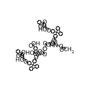 C=CC(=O)OCCNC(=O)OC(COC(=O)C1CCC(C(=O)OCC(COc2ccc(C3(c4ccc(OCC(O)COC(=O)c5ccccc5O)cc4)c4ccccc4-c4ccccc43)cc2)OC(=O)c2ccc(C(=O)O)cc2C(=O)O)CC1)COc1ccc(C2(c3ccc(OCC(O)COC(=O)c4ccccc4O)cc3)c3ccccc3-c3ccccc32)cc1